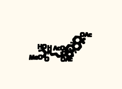 COC(=O)[C@H](NCCC[C@](C)(OC(C)=O)C1CC[C@]2(C)[C@@H]1C(OC(C)=O)CC1[C@@]3(C)CC[C@H](OC(C)=O)C(C)(C)C3CC[C@]12C)[C@@H](C)O